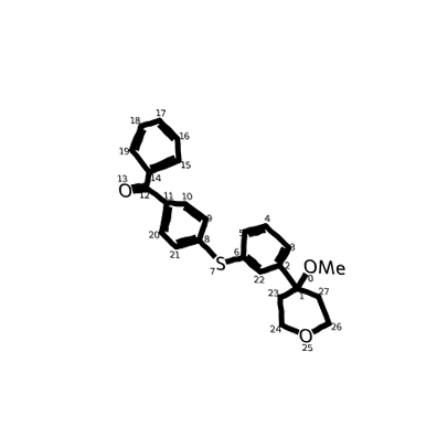 COC1(c2cccc(Sc3ccc(C(=O)c4ccccc4)cc3)c2)CCOCC1